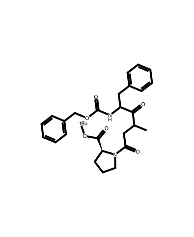 CC(CC(=O)N1CCC[C@H]1C(=O)OC(C)(C)C)C(=O)C(Cc1ccccc1)NC(=O)OCc1ccccc1